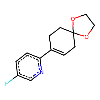 Fc1ccc(C2=CCC3(CC2)OCCO3)nc1